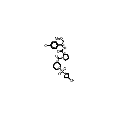 COC[C@@H](NC(=O)[C@H]1CCCN1C(=O)[C@H]1CCCN(S(=O)(=O)N2CC(C#N)C2)C1)c1ccc(Cl)cc1